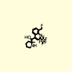 C[C@]1([C@H](O)c2cc(S(F)(F)(F)(F)F)nc3c(CF)cccc23)CCCCN1